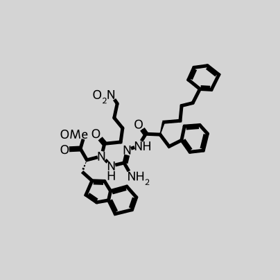 COC(=O)[C@@H](Cc1ccc2ccccc2c1)N(NC(N)=NNC(=O)[C@@H](CCCCc1ccccc1)Cc1ccccc1)C(=O)CCCC[N+](=O)[O-]